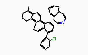 C1=Cc2ccccc2CC=N1.CC1=c2ccc3c(c2CCC1)CC=c1c(-c2ccccc2Cl)cccc1=3